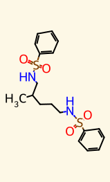 CC(CCCNS(=O)(=O)c1ccccc1)CNS(=O)(=O)c1ccccc1